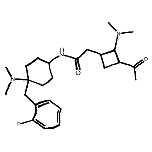 CC(=O)C1CC(CC(=O)NC2CCC(Cc3ccccc3F)(N(C)C)CC2)C1N(C)C